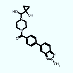 Cn1nc2ccc(-c3ccc(C(=O)N4CCN(C(O)C5(O)CC5)CC4)cc3)cc2n1